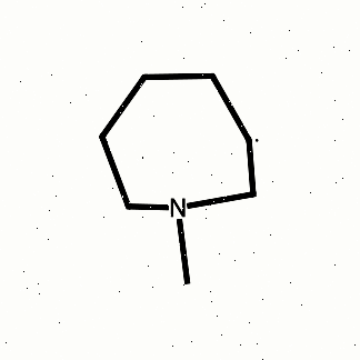 CN1C[CH]CCCC1